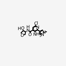 Cn1cc(-c2nc(Cl)cc(C(=O)N[C@@H]3COC[C@H]3O)c2N)cn1